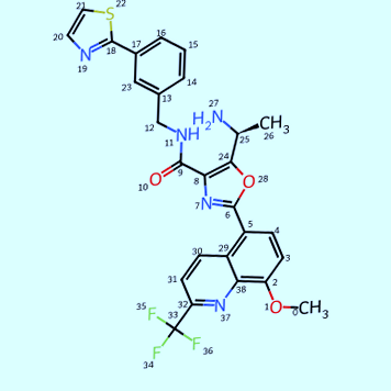 COc1ccc(-c2nc(C(=O)NCc3cccc(-c4nccs4)c3)c([C@H](C)N)o2)c2ccc(C(F)(F)F)nc12